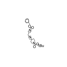 CC(C)(C)OC(=O)N1CCC2(CC1)CN(CC1CN(C(=O)OCc3ccccc3)C1)C2